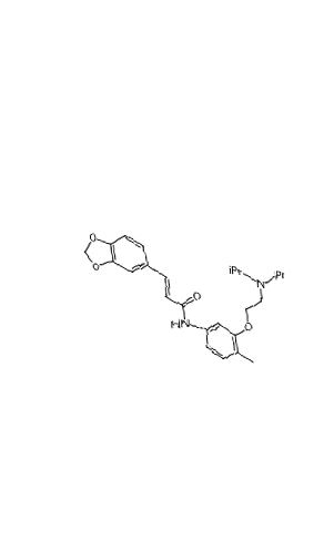 Cc1ccc(NC(=O)C=Cc2ccc3c(c2)OCO3)cc1OCCN(C(C)C)C(C)C